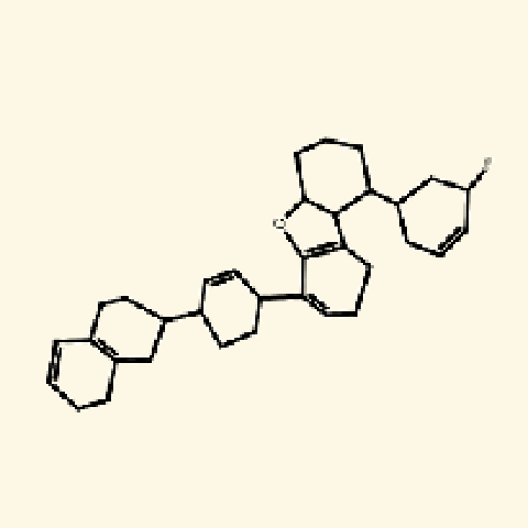 FC1C=CCC(C2CCCC3OC4=C(CCC=C4C4C=CC(C5CCC6=C(CCC=C6)C5)CC4)C32)C1